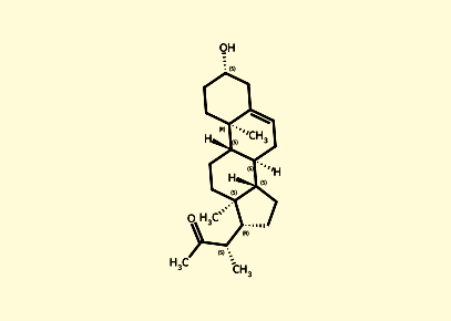 CC(=O)[C@@H](C)[C@H]1CC[C@H]2[C@@H]3CC=C4C[C@@H](O)CC[C@]4(C)[C@H]3CC[C@]12C